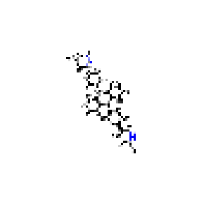 Cc1ccnc(-c2ccc(-c3c4ccccc4c(-c4ccc(-c5ccc(C)nc5)cc4)c4ccccc34)cc2)c1